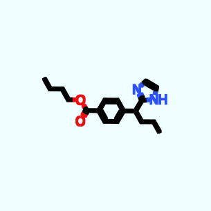 CCCCOC(=O)c1ccc(C(CCC)c2ncc[nH]2)cc1